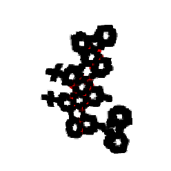 Cc1cc(N(c2cccc(-n3c4ccccc4c4ccccc43)c2)c2c(-c3ccccc3)cc(C(C)(C)C)cc2-c2ccccc2)cc(N(c2cccc(-n3c4ccccc4c4ccccc43)c2)c2c(-c3ccccc3)cc(C(C)(C)C)cc2-c2ccccc2)c1